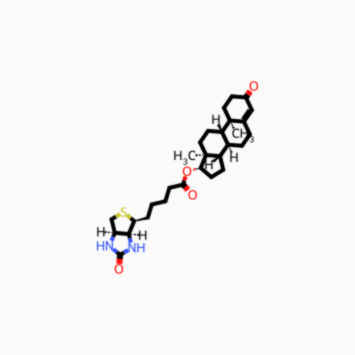 C[C@]12CC[C@H]3[C@@H](CCC4=CC(=O)CC[C@@]43C)[C@@H]1CC[C@@H]2OC(=O)CCCC[C@@H]1SC[C@@H]2NC(=O)N[C@@H]21